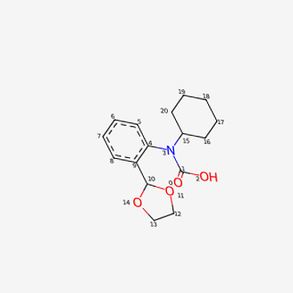 O=C(O)N(c1ccccc1C1OCCO1)C1CCCCC1